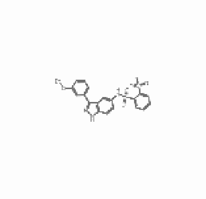 CCOc1cccc(-c2n[nH]c3ccc(NS(=O)(=O)c4ccccc4S(C)(=O)=O)cc23)c1